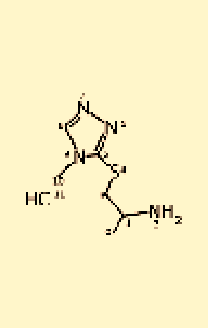 CC(N)CSc1nncn1C.Cl